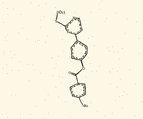 CCCCCCCCSc1nccc(-c2ccc(OC(=O)c3ccc(CCCC)cc3)cc2)n1